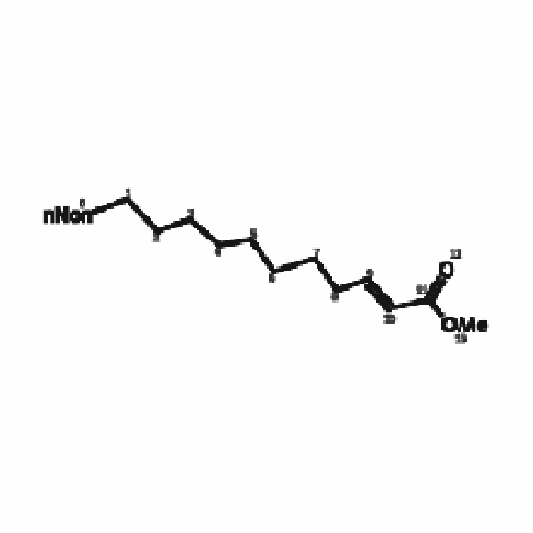 CCCCCCCCCCCCCCCCCC=CC(=O)OC